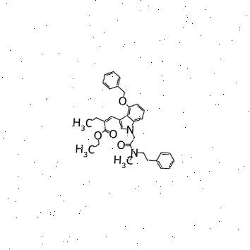 CCOC(=O)C(=Cc1cn(CC(=O)N(C)CCc2ccccc2)c2cccc(OCc3ccccc3)c12)CC